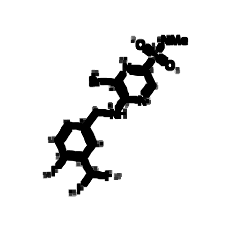 CNS(=O)(=O)c1cnc(NCc2ccc(F)c(C(F)F)c2)c(Br)n1